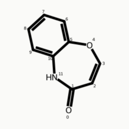 O=C1C=COc2ccccc2N1